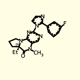 CC[C@@]12CCCN1c1nc(-n3ccnc3-c3cccc(F)c3)ncc1N(C)C2=O